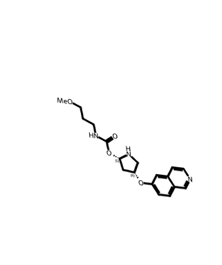 COCCCNC(=O)O[C@H]1C[C@@H](Oc2ccc3cnccc3c2)CN1